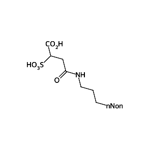 CCCCCCCCCCCCNC(=O)CC(C(=O)O)S(=O)(=O)O